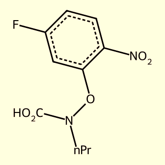 CCCN(Oc1cc(F)ccc1[N+](=O)[O-])C(=O)O